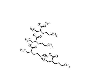 CCCCC(CC)C(=O)[O-].CCCCC(CC)C(=O)[O-].CCCCC(CC)C(=O)[O-].CCCCC(CC)C(=O)[O-].[Ce+4]